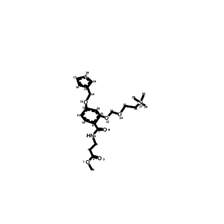 COC(=O)CCNC(=O)c1ccc(OCc2ccsc2)cc1OCOCC[Si](C)(C)C